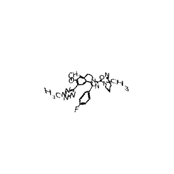 COc1cc2c(cc1-c1nnn(C)n1)-c1c(-c3ccc(F)cc3)nc(C(=O)N3CCC[C@]3(C)C#N)n1CC2